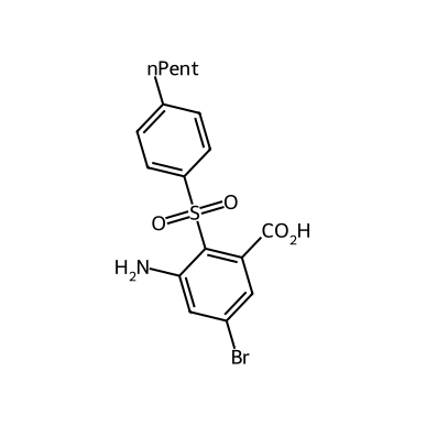 CCCCCc1ccc(S(=O)(=O)c2c(N)cc(Br)cc2C(=O)O)cc1